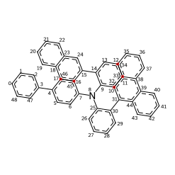 c1ccc(-c2ccc(N(c3ccccc3-c3ccc4ccccc4c3)c3ccccc3-c3cc4ccccc4c4ccccc34)cc2)cc1